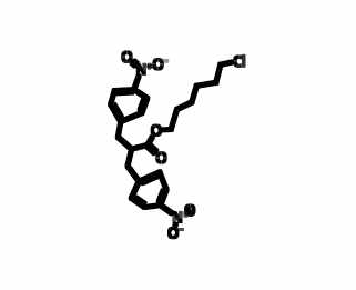 O=C(OCCCCCCCl)C(Cc1ccc([N+](=O)[O-])cc1)Cc1ccc([N+](=O)[O-])cc1